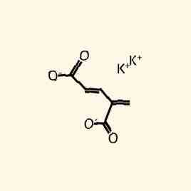 C=C(C=CC(=O)[O-])C(=O)[O-].[K+].[K+]